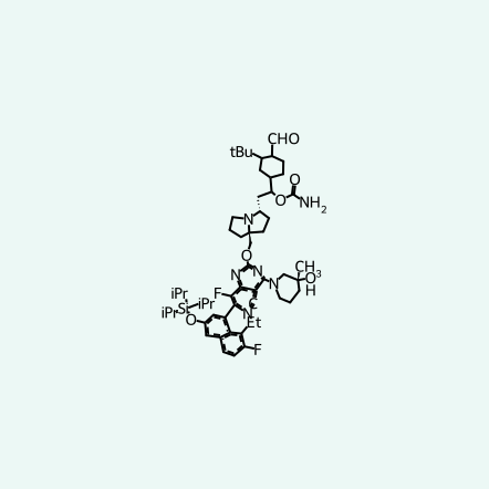 CCc1c(F)ccc2cc(O[Si](C(C)C)(C(C)C)C(C)C)cc(-c3ncc4c(N5CCC[C@@](C)(O)C5)nc(OC[C@@]56CCCN5[C@H](CC(OC(N)=O)C5CCC(C=O)C(C(C)(C)C)C5)CC6)nc4c3F)c12